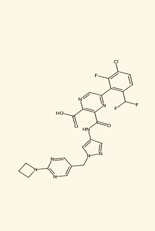 O=C(O)c1ncc(-c2c(C(F)F)ccc(Cl)c2F)nc1C(=O)Nc1cnn(Cc2cnc(N3CCC3)nc2)c1